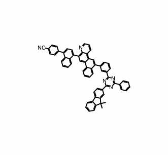 CC1(C)c2ccccc2-c2ccc(-c3nc(-c4ccccc4)nc(-c4cccc(-c5cc6c7cccnc7c(-c7ccc(-c8ccc(C#N)cc8)c8ccccc78)cc6c6ccccc56)c4)n3)cc21